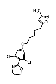 Cc1cc(CCCCCOc2cc(Cl)c(C3=NCCCO3)c(Cl)c2)on1